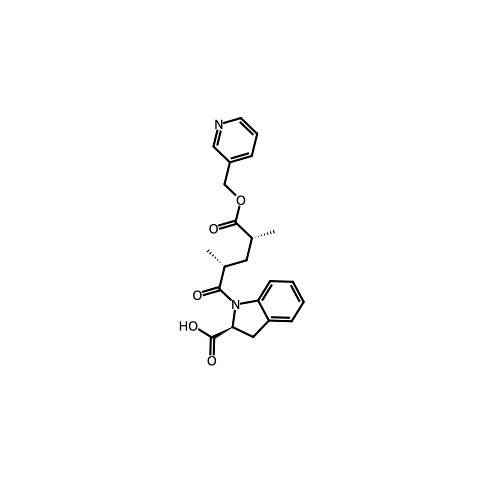 C[C@H](C[C@@H](C)C(=O)N1c2ccccc2C[C@H]1C(=O)O)C(=O)OCc1cccnc1